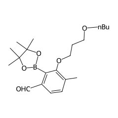 CCCCOCCCOc1c(C)ccc(C=O)c1B1OC(C)(C)C(C)(C)O1